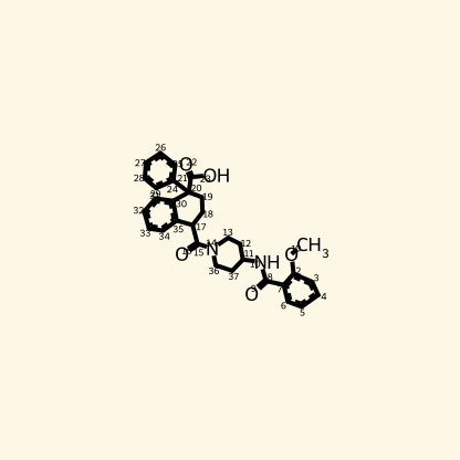 COc1ccccc1C(=O)NC1CCN(C(=O)C2CCC(C(=O)O)(c3ccccc3)c3ccccc32)CC1